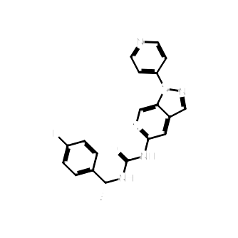 C[C@@H](NC(=O)Nc1cc2cnn(-c3ccncc3)c2cn1)c1ccc(F)cc1